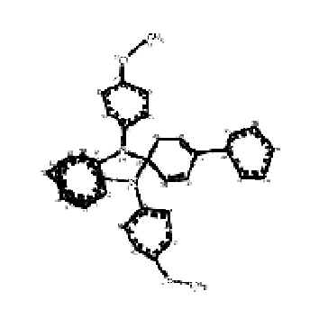 COc1ccc(N(c2ccccc2)C2(N(c3ccccc3)c3ccc(OC)cc3)C=CC(c3ccccc3)=CC2)cc1